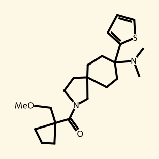 COCC1(C(=O)N2CCC3(CCC(c4cccs4)(N(C)C)CC3)C2)CCC1